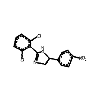 O=[N+]([O-])c1ccc(C2CN=C(c3c(Cl)cccc3Cl)N2)cc1